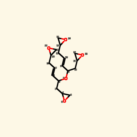 C(=CC(CC1CO1)OC(C=CCC1CO1)CC1CO1)CC1CO1